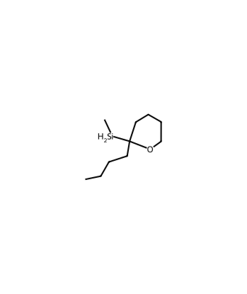 CCCCC1([SiH2]C)CCCCO1